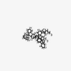 CC1(C)CCC(C)(C)c2c(N(c3ccc4c(c3)-c3ccccc3C43C4CC5CC6CC3C64C5)c3ccc4c(c3)oc3ccccc34)cccc21